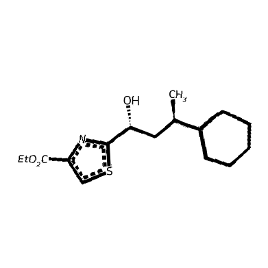 CCOC(=O)c1csc([C@H](O)C[C@@H](C)C2CCCCC2)n1